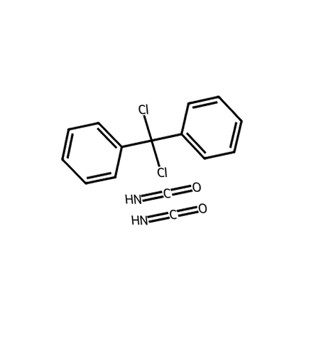 ClC(Cl)(c1ccccc1)c1ccccc1.N=C=O.N=C=O